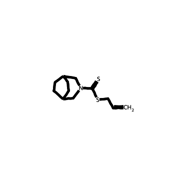 C=CCSC(=S)N1CC2CCC(CC2)C1